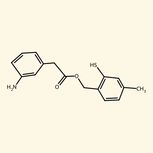 Cc1ccc(COC(=O)Cc2cccc(N)c2)c(S)c1